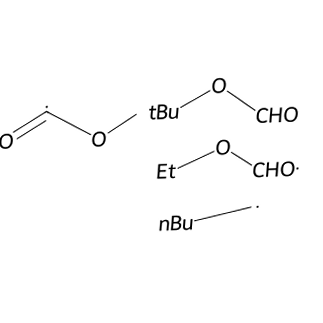 CC(C)(C)OC=O.CCO[C]=O.CO[C]=O.[CH2]CCCC